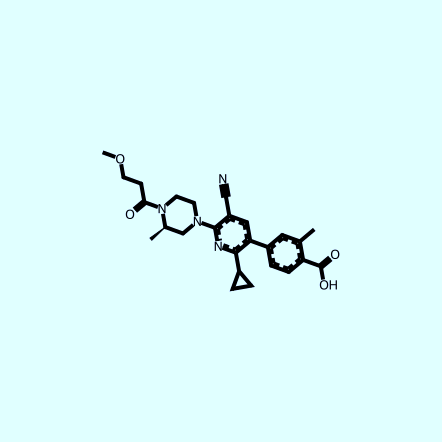 COCCC(=O)N1CCN(c2nc(C3CC3)c(-c3ccc(C(=O)O)c(C)c3)cc2C#N)C[C@H]1C